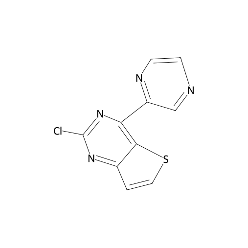 Clc1nc(-c2cnccn2)c2sccc2n1